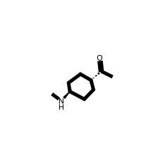 CN[C@H]1CC[C@H](C(C)=O)CC1